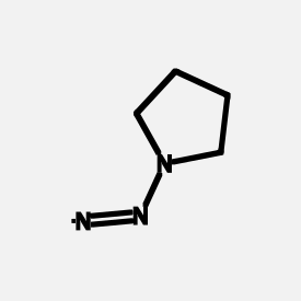 [N]=NN1CCCC1